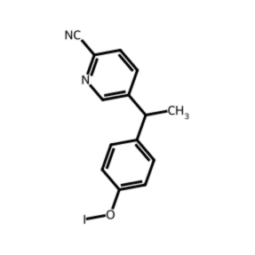 CC(c1ccc(OI)cc1)c1ccc(C#N)nc1